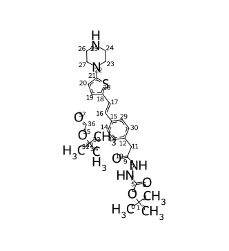 CC(C)(C)OC(=O)NNC(=O)Cc1ccc(C=Cc2ccc(N3CCNCC3)s2)cc1.CC(C)(C)OC=O